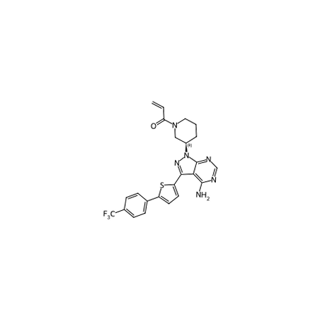 C=CC(=O)N1CCC[C@@H](n2nc(-c3ccc(-c4ccc(C(F)(F)F)cc4)s3)c3c(N)ncnc32)C1